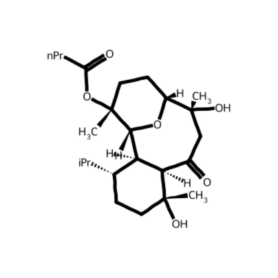 CCCC(=O)O[C@]1(C)CC[C@H]2O[C@@H]1[C@@H]1[C@@H](C(C)C)CC[C@@](C)(O)[C@@H]1C(=O)C[C@@]2(C)O